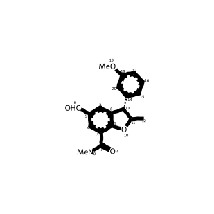 CNC(=O)c1cc(C=O)cc2c1OC(C)[C@H]2c1cccc(OC)c1